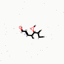 CCC(C)C(OC)C(C)/C=C/C=O